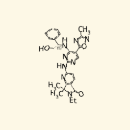 CCN1C(=O)c2ccc(Nc3ncc(-c4nc(C)no4)c(N[C@H](CO)c4ccccc4)n3)nc2C1(C)C